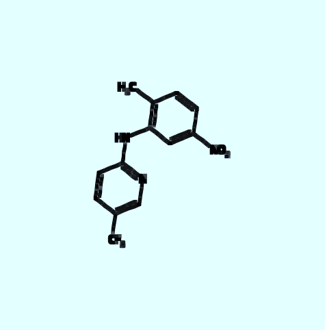 Cc1ccc([N+](=O)[O-])cc1Nc1ccc(C(F)(F)F)cn1